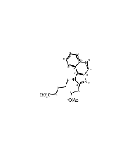 CCOC(=O)CCCCn1c(CCOC)nc2cnc3ccccc3c21